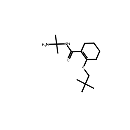 CC(C)(C)CSC1=C(C(=O)NC(C)(C)N)CCCC1